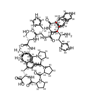 CC(C)[C@H](NC(=O)[C@H](CO)NC(=O)[C@H](Cc1c[nH]cn1)NC(=O)[C@H](Cc1c[nH]cn1)NC(=O)[C@H](Cc1c[nH]cn1)NC(=O)[C@@H](N)Cc1c[nH]cn1)C(=O)N1CCC[C@H]1C(=O)N1CCC[C@H]1C(=O)N1CCC[C@H]1C(=O)N[C@@H](Cc1c[nH]c2ccccc12)C(=O)O